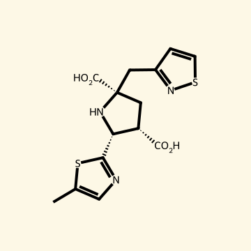 Cc1cnc([C@@H]2N[C@](Cc3ccsn3)(C(=O)O)C[C@@H]2C(=O)O)s1